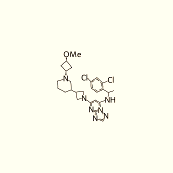 CO[C@H]1C[C@@H](N2CCCC(C3CN(c4cc(NC(C)c5ccc(Cl)cc5Cl)n5ncnc5n4)C3)C2)C1